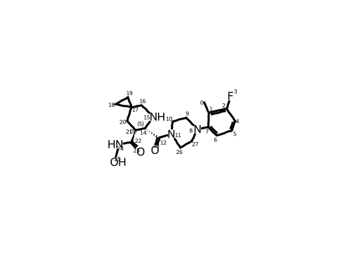 Cc1c(F)cccc1N1CCN(C(=O)[C@H]2NCC3(CC3)C[C@@H]2C(=O)NO)CC1